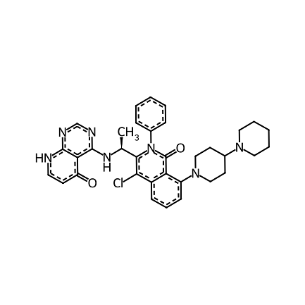 C[C@H](Nc1ncnc2[nH]ccc(=O)c12)c1c(Cl)c2cccc(N3CCC(N4CCCCC4)CC3)c2c(=O)n1-c1ccccc1